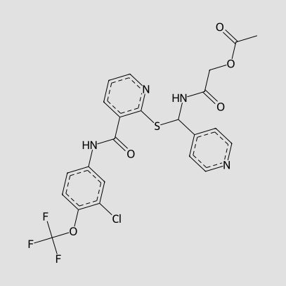 CC(=O)OCC(=O)NC(Sc1ncccc1C(=O)Nc1ccc(OC(F)(F)F)c(Cl)c1)c1ccncc1